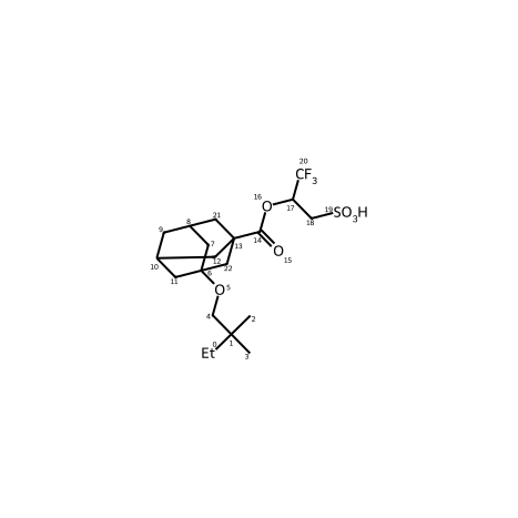 CCC(C)(C)COC12CC3CC(C1)CC(C(=O)OC(CS(=O)(=O)O)C(F)(F)F)(C3)C2